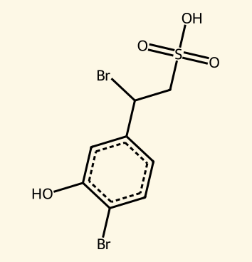 O=S(=O)(O)CC(Br)c1ccc(Br)c(O)c1